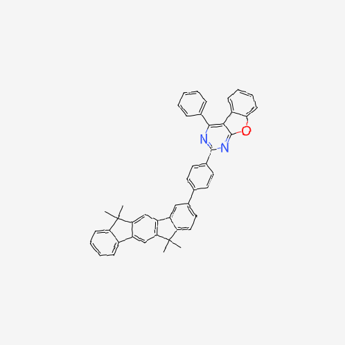 CC1(C)c2ccccc2-c2cc3c(cc21)-c1cc(-c2ccc(-c4nc(-c5ccccc5)c5c(n4)oc4ccccc45)cc2)ccc1C3(C)C